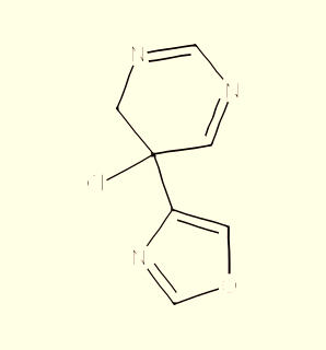 ClC1(c2cocn2)C=NC=NC1